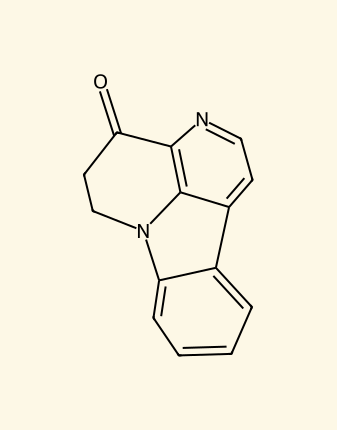 O=C1CCn2c3ccccc3c3ccnc1c32